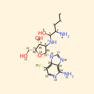 CCCC(N)C(O)NC1[C@@H](O)[C@@H](CO)O[C@H]1n1cnc2c(N)ncc(F)c21